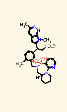 CCOC(=O)CC(c1ccc(C)c(CN2C[C@H]3CCCCN3c3ncccc3S2(O)O)c1)c1cc2cc(C)nnc2n1C